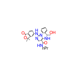 CCCNC(=O)c1cnc(Nc2ccc3c(c2)C(C)(C)OC3=O)nc1NC(CO)c1ccccc1